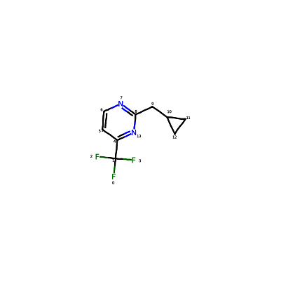 FC(F)(F)c1[c]cnc(CC2CC2)n1